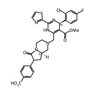 COC(=O)C1=C(CN2CCN3C(=O)C(c4ccc(C(=O)O)cc4)C[C@@H]3C2)NC(c2nccs2)=N[C@H]1c1ccc(F)cc1Cl